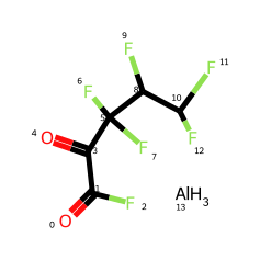 O=C(F)C(=O)C(F)(F)C(F)C(F)F.[AlH3]